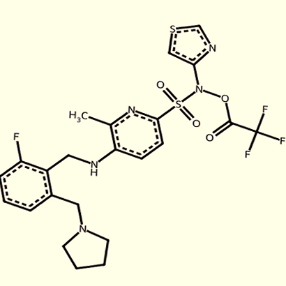 Cc1nc(S(=O)(=O)N(OC(=O)C(F)(F)F)c2cscn2)ccc1NCc1c(F)cccc1CN1CCCC1